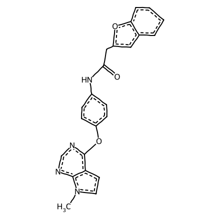 Cn1ccc2c(Oc3ccc(NC(=O)Cc4cc5ccccc5o4)cc3)ncnc21